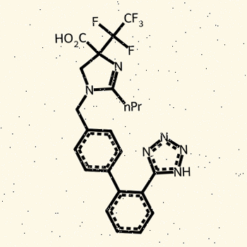 CCCC1=NC(C(=O)O)(C(F)(F)C(F)(F)F)CN1Cc1ccc(-c2ccccc2-c2nnn[nH]2)cc1